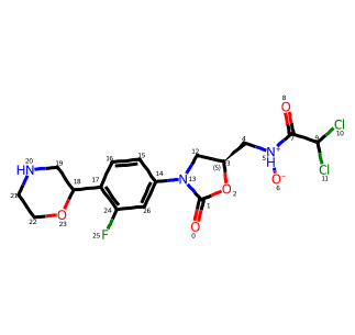 O=C1O[C@H](C[NH+]([O-])C(=O)C(Cl)Cl)CN1c1ccc(C2CNCCO2)c(F)c1